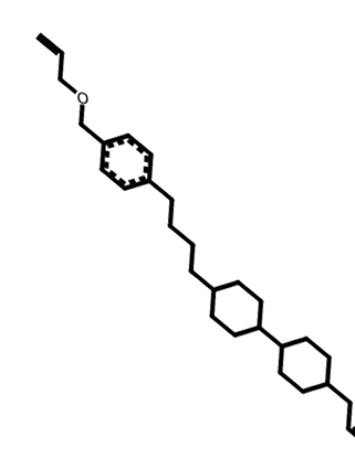 C=CCOCc1ccc(CCCCC2CCC(C3CCC(CC=C)CC3)CC2)cc1